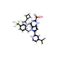 CC(C)c1ccnc(-c2cc3nc(C(=O)O)nc(NC(C)C4CCC4)c3n2Cc2ccc(C(F)(F)F)cc2)c1